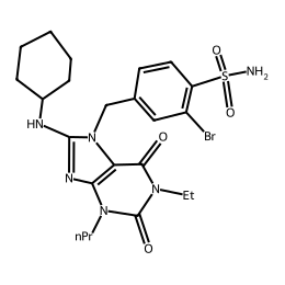 CCCn1c(=O)n(CC)c(=O)c2c1nc(NC1CCCCC1)n2Cc1ccc(S(N)(=O)=O)c(Br)c1